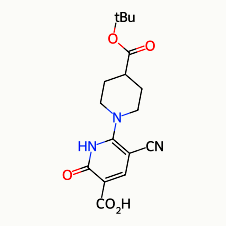 CC(C)(C)OC(=O)C1CCN(c2[nH]c(=O)c(C(=O)O)cc2C#N)CC1